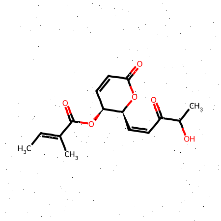 C/C=C(\C)C(=O)O[C@H]1C=CC(=O)O[C@H]1/C=C\C(=O)C(C)O